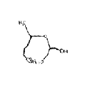 CC(CO)OC(O)O